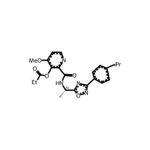 CCC(=O)Oc1c(OC)ccnc1C(=O)N[C@@H](C)c1nc(-c2ccc(C(C)C)cc2)no1